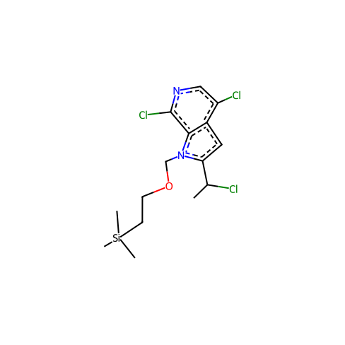 CC(Cl)c1cc2c(Cl)cnc(Cl)c2n1COCC[Si](C)(C)C